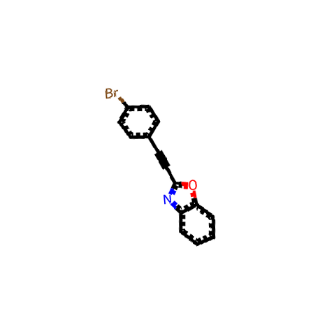 Brc1ccc(C#Cc2nc3ccccc3o2)cc1